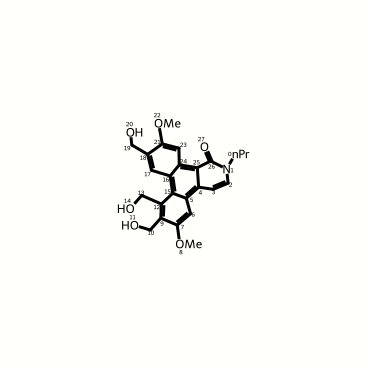 CCCn1ccc2c3cc(OC)c(CO)c(CO)c3c3cc(CO)c(OC)cc3c2c1=O